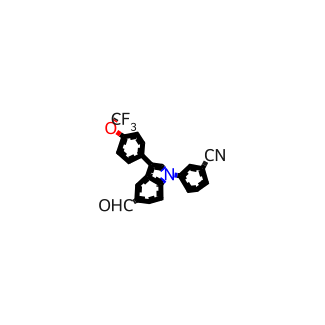 N#Cc1cccc(-n2cc(-c3ccc(OC(F)(F)F)cc3)c3cc(C=O)ccc32)c1